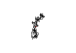 C[C@H](NC(=O)c1cc(C(F)F)nn1C)c1nc(-c2ccnc(C3CCC3c3cc(-c4noc([C@H](C)NC(=O)c5ccnn5C5CCC5)n4)cc(C4CCC4)n3)c2)no1